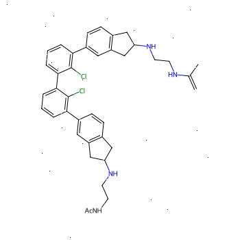 C=C(C)NCCNC1Cc2ccc(-c3cccc(-c4cccc(-c5ccc6c(c5)CC(NCCNC(C)=O)C6)c4Cl)c3Cl)cc2C1